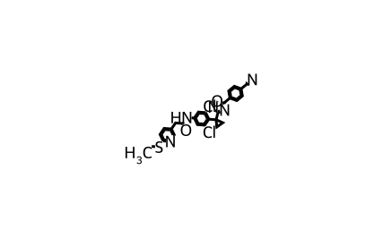 CCSc1ccc(CC(=O)Nc2cc(Cl)c(C3(c4noc(-c5ccc(C#N)cc5)n4)CC3)c(Cl)c2)cn1